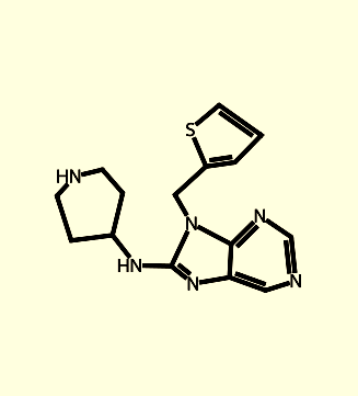 c1csc(Cn2c(NC3CCNCC3)nc3cncnc32)c1